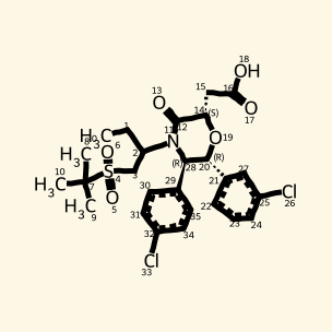 CCC(CS(=O)(=O)C(C)(C)C)N1C(=O)[C@H](CC(=O)O)O[C@H](c2cccc(Cl)c2)[C@H]1c1ccc(Cl)cc1